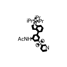 CC(=O)Nc1cc(-c2cccc3c2ccn3[Si](C(C)C)(C(C)C)C(C)C)cc(S(=O)(=O)c2cccnc2)c1